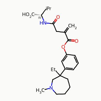 C=C(CC(=O)N[C@H](C(=O)O)C(C)C)C(=O)Oc1cccc(C2(CC)CCCCN(C)C2)c1